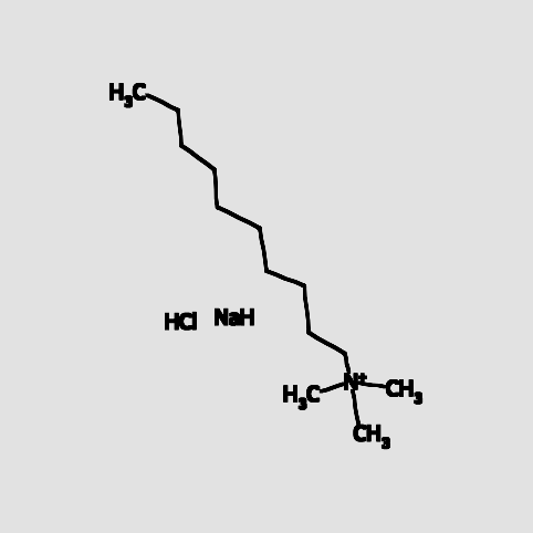 CCCCCCCCCC[N+](C)(C)C.Cl.[NaH]